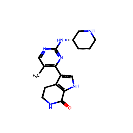 O=C1NCCc2c(-c3nc(N[C@H]4CCCNC4)ncc3C(F)(F)F)c[nH]c21